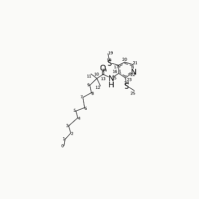 CCCCCCCCCCC(C)(C)C(=O)Nc1c(SC)ccnc1SC